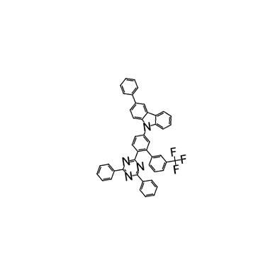 FC(F)(F)c1cccc(-c2cc(-n3c4ccccc4c4cc(-c5ccccc5)ccc43)ccc2-c2nc(-c3ccccc3)nc(-c3ccccc3)n2)c1